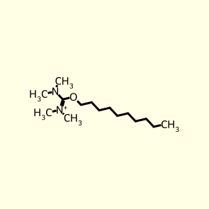 CCCCCCCCCCOC(N(C)C)=[N+](C)C